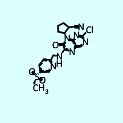 CCS(=O)(=O)c1ccc(CNc2nc3cnc(Cl)nc3n([C@H]3CCCC3C#N)c2=O)nc1